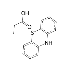 CCC(=O)O.c1ccc2c(c1)Nc1ccccc1S2